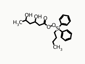 CCCC[Si](OOC(=O)CC(O)CC(C)O)(c1ccccc1)c1ccccc1